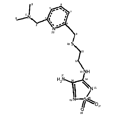 CN(C)Cc1cccc(CSCCNC2=NS(=O)(=O)N=C2N)n1